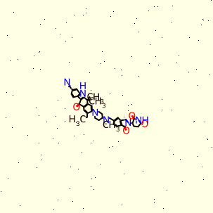 CCc1cc2c(cc1N1CCC(N(C)Cc3ccc4c(c3)CN(C3CCC(=O)NC3=O)C4=O)CC1)C(C)(C)c1[nH]c3cc(C#N)ccc3c1C2=O